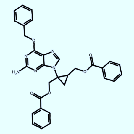 Nc1nc(OCc2ccccc2)c2ncn(C3(COC(=O)c4ccccc4)CC3COC(=O)c3ccccc3)c2n1